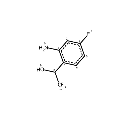 Nc1cc(F)ccc1C(O)C(F)(F)F